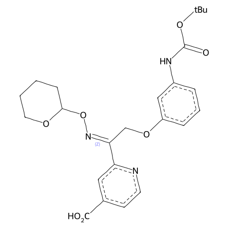 CC(C)(C)OC(=O)Nc1cccc(OC/C(=N\OC2CCCCO2)c2cc(C(=O)O)ccn2)c1